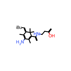 C=C(O)CCNC(=C)C1=C(C)C(N)=C(C)/C(=C\C(C)CC)C1(C)C